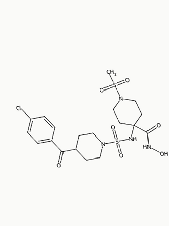 CS(=O)(=O)N1CCC(NS(=O)(=O)N2CCC(C(=O)c3ccc(Cl)cc3)CC2)(C(=O)NO)CC1